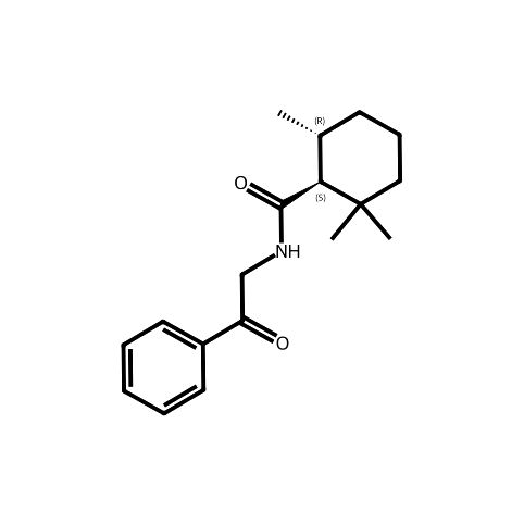 C[C@@H]1CCCC(C)(C)[C@H]1C(=O)NCC(=O)c1ccccc1